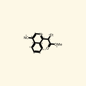 CCC(C(=O)OC)c1ncc(C#N)c2ccccc12